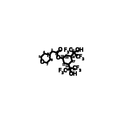 O=C(CN1CCOCC1)OC1CC(C(O)(C(F)(F)F)C(F)(F)F)CC(C(O)(C(F)(F)F)C(F)(F)F)C1